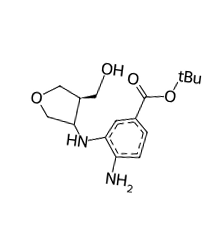 CC(C)(C)OC(=O)c1ccc(N)c(NC2COC[C@H]2CO)c1